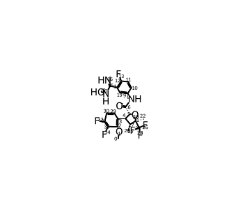 COc1c([C@H]2[C@H](C(=O)Nc3ccc(F)c(C(=N)NO)c3)O[C@@](C)(C(F)(F)F)[C@H]2C)ccc(F)c1F